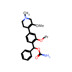 COC1=C(c2ccc(C(OC(N)=O)c3ccccc3)c(OC(C)C)c2)CCN(C)C1